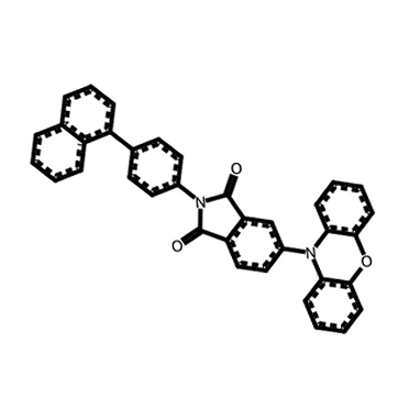 O=C1c2ccc(N3c4ccccc4Oc4ccccc43)cc2C(=O)N1c1ccc(-c2cccc3ccccc23)cc1